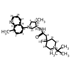 Cc1ccc(N2C[C@@H](C)[C@@H](NC(=O)CC3(F)CCN(C(C)(C)C)CC3)C2)c2cccnc12